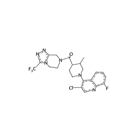 CC1CN(c2c(Cl)cnc3c(F)cccc23)CCC1C(=O)N1CCn2c(nnc2C(F)(F)F)C1